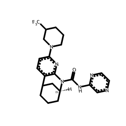 O=C(Nc1cnccn1)N1c2nc(N3CCCC(C(F)(F)F)C3)ccc2C2CCC[C@H]1C2